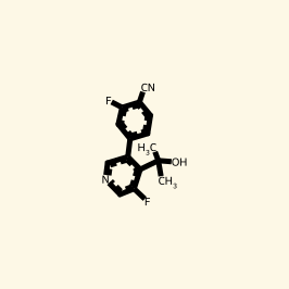 CC(C)(O)c1c(F)cncc1-c1ccc(C#N)c(F)c1